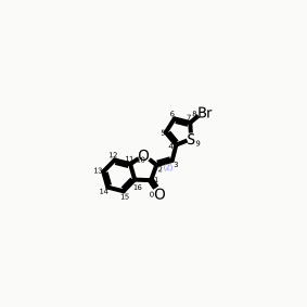 O=C1/C(=C/c2ccc(Br)s2)Oc2ccccc21